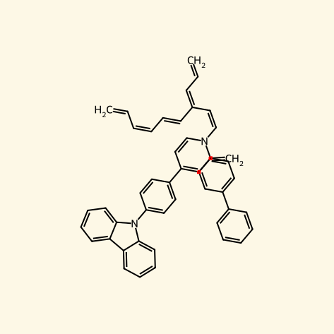 C=C/C=C\C=CC(/C=C\N(/C=C\C(=C/C=C)c1ccc(-n2c3ccccc3c3ccccc32)cc1)c1ccc(-c2ccccc2)cc1)=C/C=C